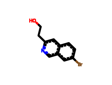 OCCc1cc2ccc(Br)cc2cn1